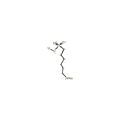 CCCCCCCCCCCCS(=O)(=O)OF